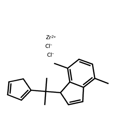 Cc1ccc(C)c2c1C=CC2C(C)(C)C1=CC=CC1.[Cl-].[Cl-].[Zr+2]